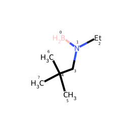 BN(CC)CC(C)(C)C